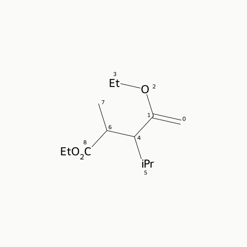 C=C(OCC)C(C(C)C)C(C)C(=O)OCC